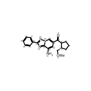 COC[C@@H]1CCCC1C(=O)c1cc(N)c2nc(-c3ccccc3)nn2c1